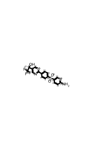 C[C@](O)(c1cnc(-c2ccc(S(=O)(=O)c3ccc(N)nc3)cc2)nc1)C(F)(F)F